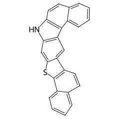 c1ccc2c(c1)ccc1c3cc4c(cc3sc21)[nH]c1ccc2ccccc2c14